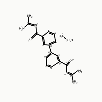 CS(=O)(=O)O.NC(N)=NC(=O)c1cccc(-c2cccc(C(=O)N=C(N)N)c2)c1